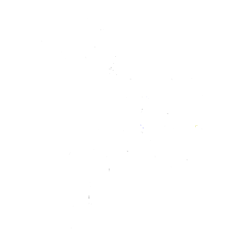 CCCCCCCCN(CCCCCCCC)c1cccc2sc3cccc(N(CCCCCCCC)CCCCCCCC)c3c12